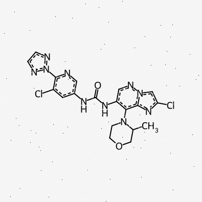 CC1COCCN1c1c(NC(=O)Nc2cnc(-n3nccn3)c(Cl)c2)cnn2cc(Cl)nc12